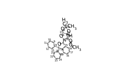 COO[C@H]1[C@@H](COC(c2ccccc2)(c2ccccc2)c2ccccc2)OC2OC(C)(C)O[C@@H]21